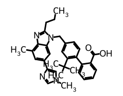 CCCc1nc2c(C)cc(-c3cn(C)cn3)cc2n1Cc1ccc(-c2ccccc2C(=O)O)c(C(C)(C)C)c1